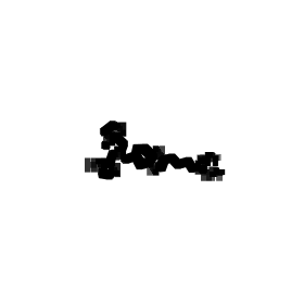 CCCN(CCC)CCCCc1cnc2cc(CN(CC3=NCCN3C)Cc3ncc[nH]3)ccc2n1